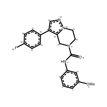 COc1cccc(NC(=O)N2CCn3ncc(-c4ccc(F)cc4)c3C2)c1